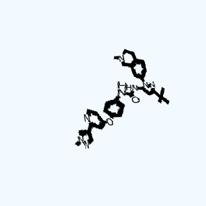 CN1CCc2ccc(-n3nc(C(C)(C)C)cc3NC(=O)Nc3ccc(Oc4ccnc(-c5cnn(C)c5)c4)cc3)cc2C1